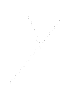 CCCCCCCCCCCC[O][Al]([CH2]CCCCCCC)[CH2]CCCCCCC